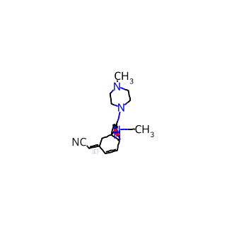 CN1CCN(C2=C3CN(C)CC34C/C(=C\C#N)C=CC4=NC=C2)CC1